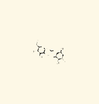 NC1C[C@@H](N)C(O)C(F)[C@@H]1OCO[C@H]1OC(CO)[C@@H](N)C(O)C1O